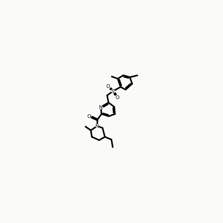 CCC1CCC(C)N(C(=O)c2cccc(CS(=O)(=O)c3ccc(C)cc3C)n2)C1